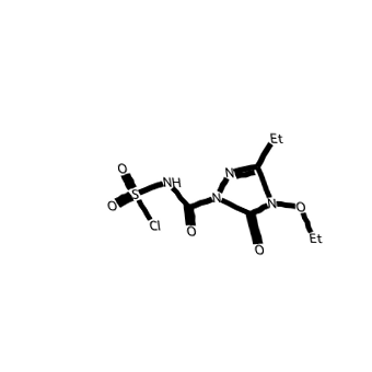 CCOn1c(CC)nn(C(=O)NS(=O)(=O)Cl)c1=O